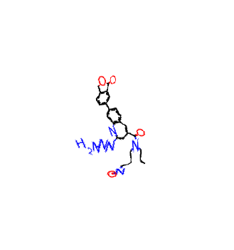 CCCN(CCCN=O)C(=O)C1=Cc2ccc(-c3ccc4c(c3)C(=O)OC4)cc2N=C(N=NN)C1